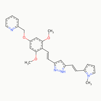 COc1cc(OCc2ccccn2)cc(OC)c1C=Cc1cc(C=Cc2cccn2C)[nH]n1